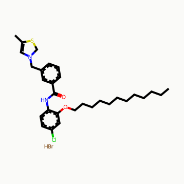 Br.CCCCCCCCCCCCOc1cc(Cl)ccc1NC(=O)c1cccc(CN2C=C(C)SC2)c1